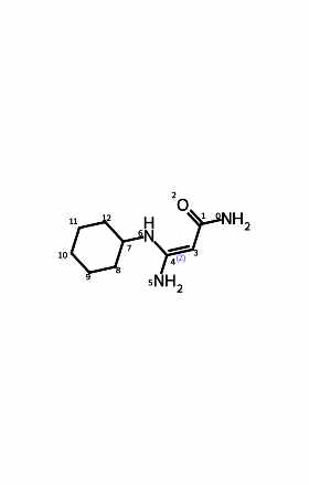 NC(=O)/C=C(/N)NC1CCCCC1